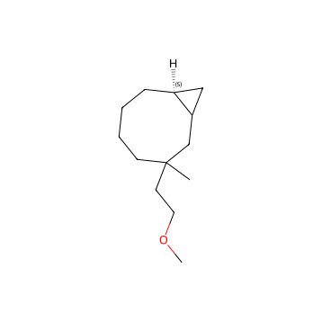 COCCC1(C)CCCC[C@H]2CC2C1